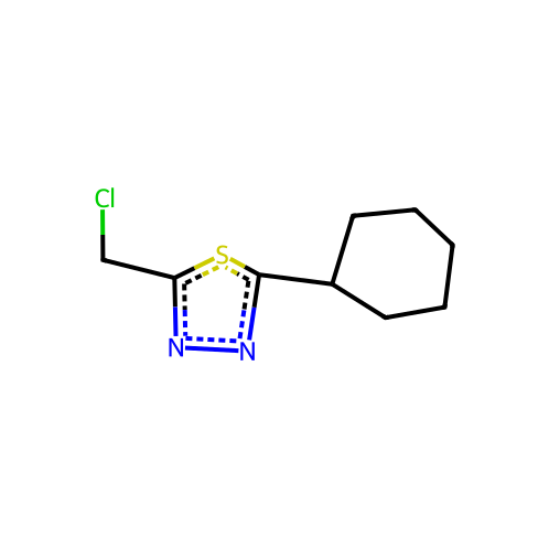 ClCc1nnc(C2CCCCC2)s1